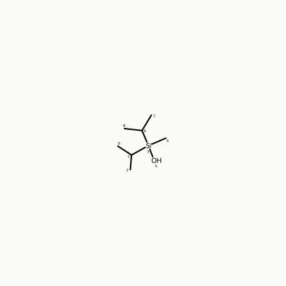 CC(C)[Si](C)(O)C(C)C